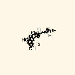 C[C@H](CCC(=O)NCCCCCC(=O)NO)[C@H]1CCC2C3C(O)CC4C[C@H](O)CCC4(C)C3CCC21C